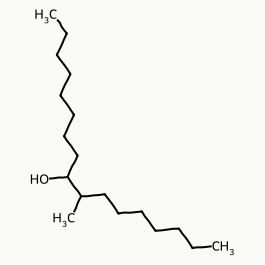 CCCCCCCCC(O)C(C)CCCCCCC